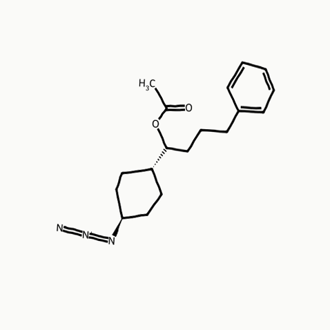 CC(=O)OC(CCCc1ccccc1)[C@H]1CC[C@H](N=[N+]=[N-])CC1